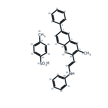 Cc1cc2cc(-c3ccccc3)ccc2nc1C=CNc1ccccc1.Cc1ccc(S(=O)(=O)O)cc1